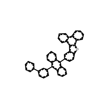 c1ccc(-c2cccc(-c3c4ccccc4c(-c4ccc5oc6c7ccccc7c7ccccc7c6c5c4)c4ccccc34)c2)cc1